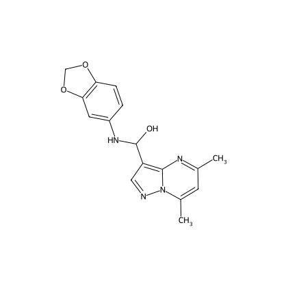 Cc1cc(C)n2ncc(C(O)Nc3ccc4c(c3)OCO4)c2n1